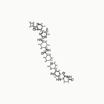 O=C1CCC(Nc2ccc(C3CCN([C@H]4CC[C@H](C(=O)NC5CCC(Nc6ncc(F)c(-c7ccnc(C8(O)CCC8)c7)n6)CC5)CC4)CC3)c(F)c2)C(=O)N1